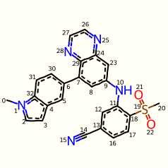 Cn1ccc2cc(-c3cc(Nc4cc(C#N)ccc4S(C)(=O)=O)cc4nccnc34)ccc21